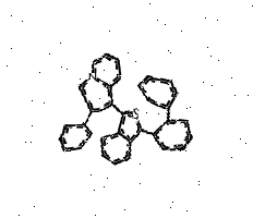 c1ccc(-c2ccccc2-c2sc(-c3c(-c4ccccc4)cn4ccccc34)c3ccccc23)cc1